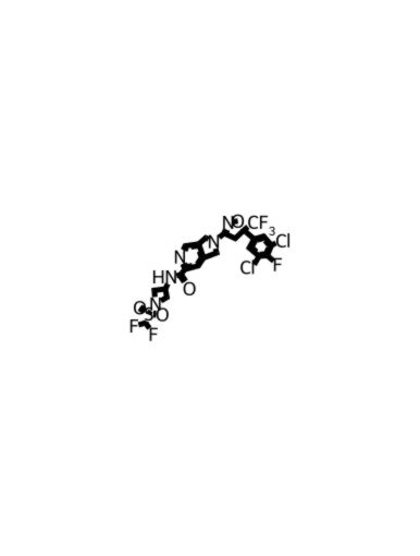 O=C(NC1CN(S(=O)(=O)C(F)F)C1)c1cc2c(cn1)CN(C1=NOC(c3cc(Cl)c(F)c(Cl)c3)(C(F)(F)F)C1)C2